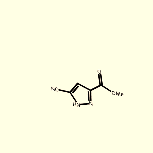 COC(=O)c1cc(C#N)[nH]n1